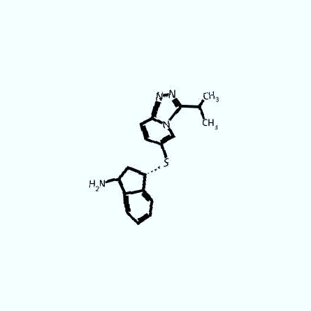 CC(C)c1nnc2ccc(S[C@H]3CC(N)c4ccccc43)cn12